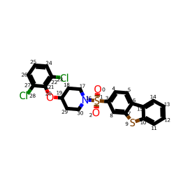 O=S(=O)(c1ccc2c(c1)sc1ccccc12)N1CCC(Oc2c(Cl)cccc2Cl)CC1